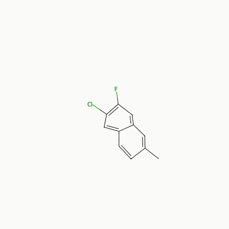 Cc1ccc2cc(Cl)c(F)cc2c1